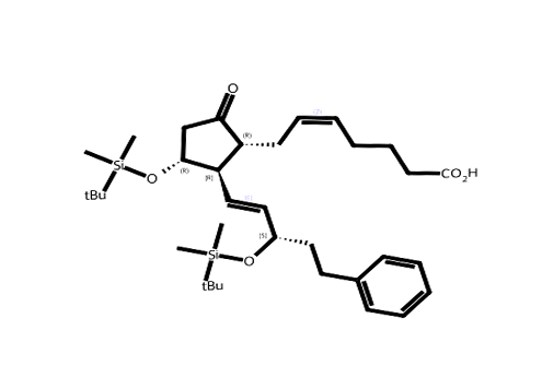 CC(C)(C)[Si](C)(C)O[C@H](/C=C/[C@H]1[C@H](O[Si](C)(C)C(C)(C)C)CC(=O)[C@@H]1C/C=C\CCCC(=O)O)CCc1ccccc1